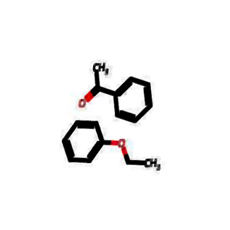 CC(=O)c1ccccc1.CCOc1ccccc1